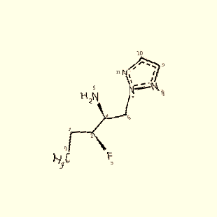 CC[C@H](F)[C@@H](N)Cn1nccn1